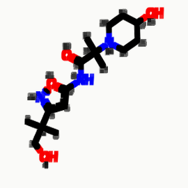 CC(C)(CO)c1cc(NC(=O)C(C)(C)N2CCC(O)CC2)on1